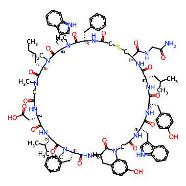 CCCC[C@H]1C(=O)N(C)CC(=O)N[C@@H](CC(=O)O)C(=O)N[C@@H](C(C)C)C(=O)N(C)[C@@H](Cc2ccccc2)C(=O)N[C@H]2Cc3ccc(O)cc3N(CC(=O)N[C@@H](Cc3c[nH]c4ccccc34)C(=O)N[C@@H](Cc3ccc(O)cc3)C(=O)N[C@@H](CC(C)C)C(=O)N[C@H](C(=O)NCC(N)=O)CSCC(=O)N[C@@H](Cc3ccccc3)C(=O)N(C)[C@@H](Cc3c[nH]c4ccccc34)C(=O)N1C)C2=O